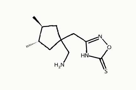 C[C@H]1CC(CN)(Cc2noc(=S)[nH]2)C[C@@H]1C